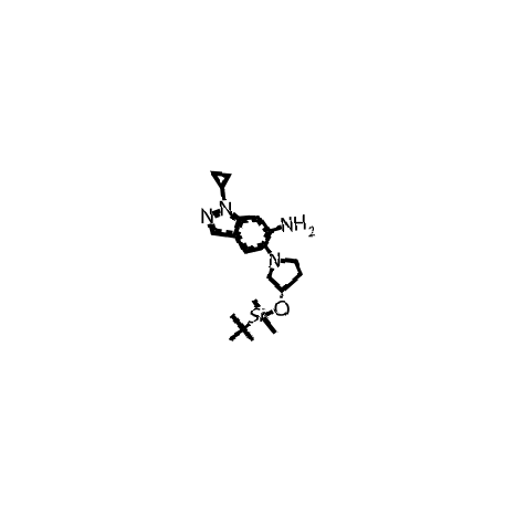 CC(C)(C)[Si](C)(C)O[C@H]1CCN(c2cc3cnn(C4CC4)c3cc2N)C1